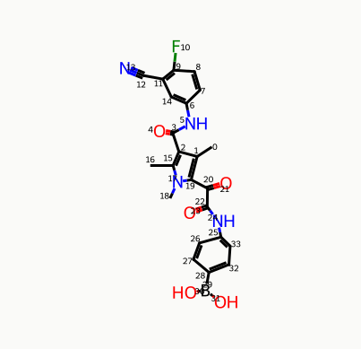 Cc1c(C(=O)Nc2ccc(F)c(C#N)c2)c(C)n(C)c1C(=O)C(=O)Nc1ccc(B(O)O)cc1